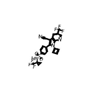 N#Cc1c(-c2ccc(S(=O)(=O)NC3(C(F)(F)F)CC3)cc2)n(C2=CC=C2)c2ncc(C(F)(F)F)cc12